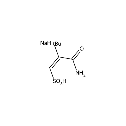 CC(C)(C)C(=CS(=O)(=O)O)C(N)=O.[NaH]